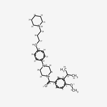 COc1ccc(C(=O)N2CCN(c3ccc(OCCCN4CCCCC4)cc3)CC2)cc1C(C)C